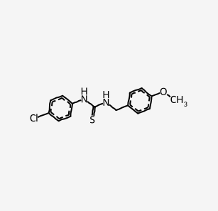 COc1ccc(CNC(=S)Nc2ccc(Cl)cc2)cc1